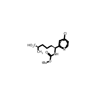 C[C@H](CCC[C@H](NC(=O)OC(C)(C)C)c1cc(Cl)ccn1)C(=O)O